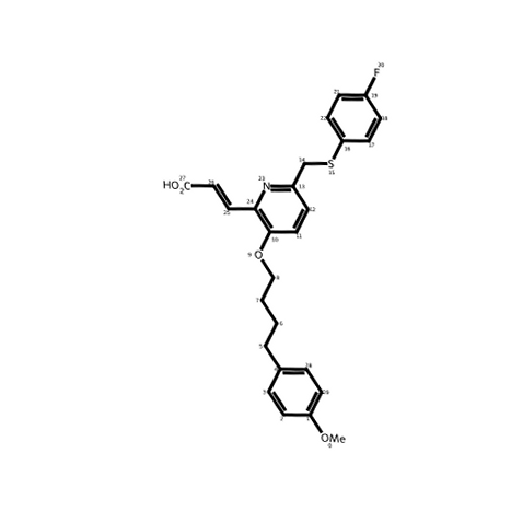 COc1ccc(CCCCOc2ccc(CSc3ccc(F)cc3)nc2C=CC(=O)O)cc1